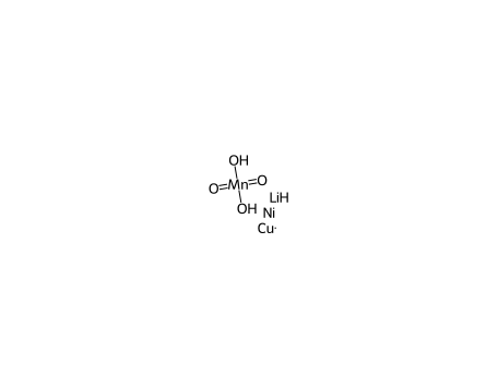 [Cu].[LiH].[Ni].[O]=[Mn](=[O])([OH])[OH]